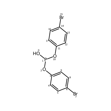 OP(Oc1ccc(Br)cc1)Oc1ccc(Br)cc1